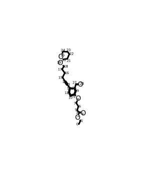 CCOC(=O)CCCOc1ccc(C#CCCCCOC2CCCCO2)c(C=O)c1